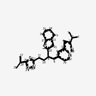 CC(C)c1cc2cc(CC(CCc3nnc(C(C)C)s3)c3cc4ccccc4s3)ccn2n1